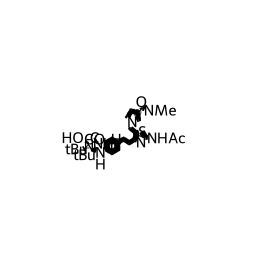 CNC(=O)[C@H]1CCN(Cc2sc(NC(C)=O)nc2CCc2ccc(NC(NC(=O)O)(N(C(=O)O)C(C)(C)C)C(C)(C)C)cc2)C1